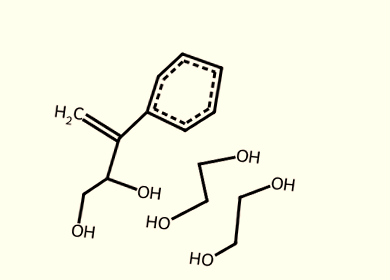 C=C(c1ccccc1)C(O)CO.OCCO.OCCO